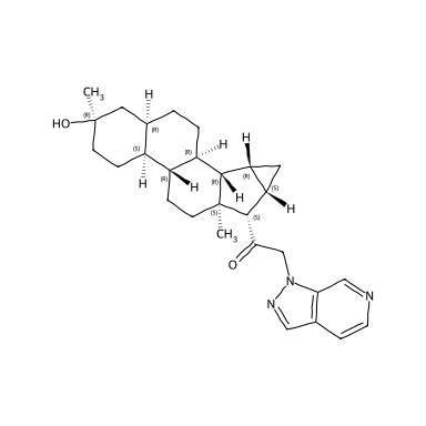 C[C@@]1(O)CC[C@H]2[C@H](CC[C@@H]3[C@@H]2CC[C@@]2(C)[C@H]3[C@@H]3C[C@@H]3[C@@H]2C(=O)Cn2ncc3ccncc32)C1